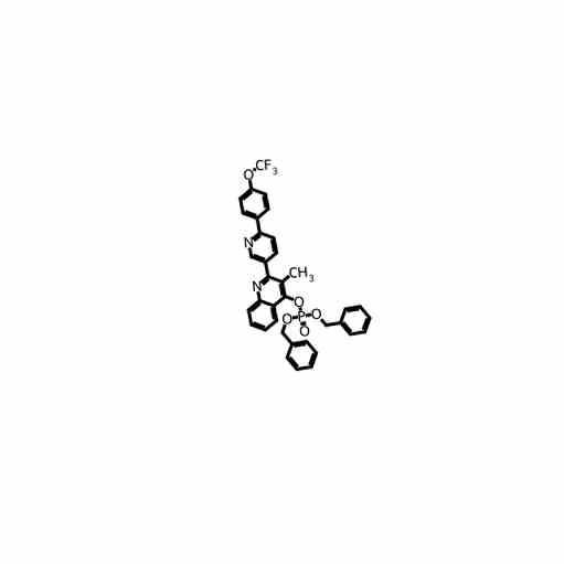 Cc1c(-c2ccc(-c3ccc(OC(F)(F)F)cc3)nc2)nc2ccccc2c1OP(=O)(OCc1ccccc1)OCc1ccccc1